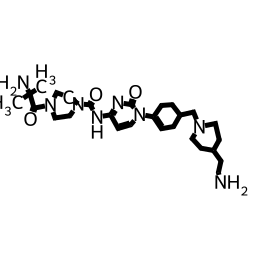 CC(C)(N)C(=O)N1CCN(C(=O)Nc2ccn(C3=CCC(CN4CCC(CCN)CC4)CC3)c(=O)n2)CC1